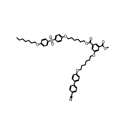 CCCCCCCOc1ccc(S(=O)(=O)c2ccc(OCCCCCCOC(=O)c3cc(OCCCCCCOc4ccc(-c5ccc(C#N)cc5)cc4)cc(C(=O)OC)c3)cc2)cc1